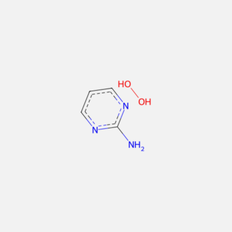 Nc1ncccn1.OO